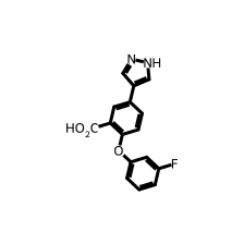 O=C(O)c1cc(-c2cn[nH]c2)ccc1Oc1cccc(F)c1